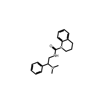 CN(C)C(CNC(=O)N1CCCc2ccccc21)c1ccccc1